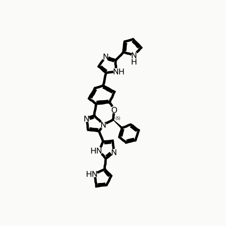 c1ccc([C@@H]2Oc3cc(-c4cnc(-c5ccc[nH]5)[nH]4)ccc3-c3ncc(-c4cnc(-c5ccc[nH]5)[nH]4)n32)cc1